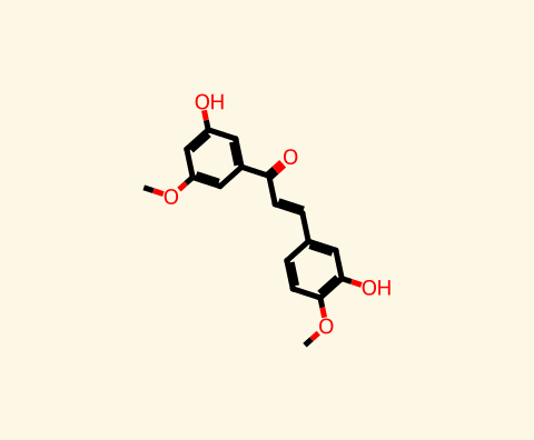 COc1cc(O)cc(C(=O)/C=C/c2ccc(OC)c(O)c2)c1